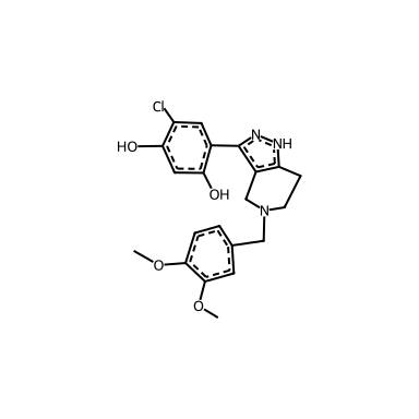 COc1ccc(CN2CCc3[nH]nc(-c4cc(Cl)c(O)cc4O)c3C2)cc1OC